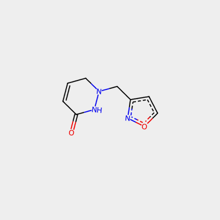 O=C1C=CCN(Cc2ccon2)N1